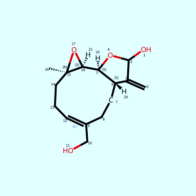 C=C1C(O)O[C@H]2[C@H]1CC/C(CO)=C\CC[C@@]1(C)O[C@@H]21